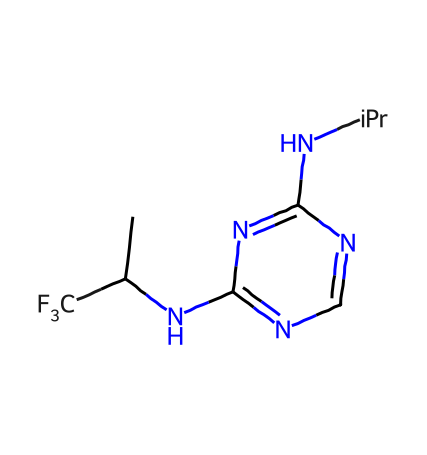 CC(C)Nc1ncnc(NC(C)C(F)(F)F)n1